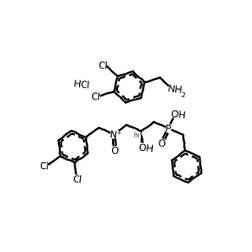 Cl.NCc1ccc(Cl)c(Cl)c1.O=[N+](Cc1ccc(Cl)c(Cl)c1)C[C@H](O)CP(=O)(O)Cc1ccccc1